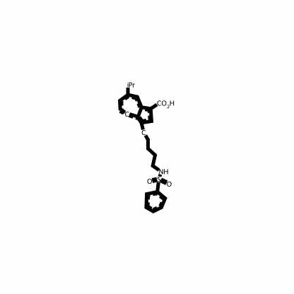 CC(C)c1cccc2c(CCCCCNS(=O)(=O)c3ccccc3)cc(C(=O)O)c-2c1